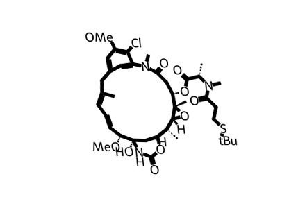 COc1cc2cc(c1Cl)N(C)C(=O)C[C@H](OC(=O)[C@H](C)N(C)C(=O)CCSC(C)(C)C)[C@]1(C)O[C@@H]1[C@H](C)[C@H]1C[C@@](O)(NC(=O)O1)[C@H](OC)/C=C/C=C(\C)C2